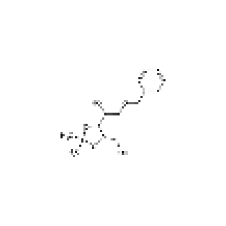 CC1(C)OC(CO)C(C(O)COCc2ccccc2)O1